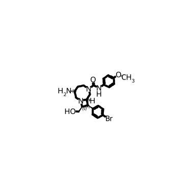 COc1ccc(NC(=O)N2CC[C@@H](N)CN3[C@H](CO)[C@H](c4ccc(Br)cc4)[C@@H]3C2)cc1